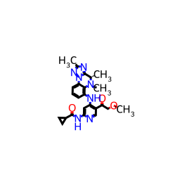 COCC(=O)c1cnc(NC(=O)C2CC2)cc1Nc1cccc2c1N(C)[C@@H](C)c1nc(C)nn1-2